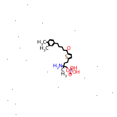 Cc1ccc(CCCCC(=O)c2ccc(CCC(C)(N)COP(=O)(O)O)s2)cc1C